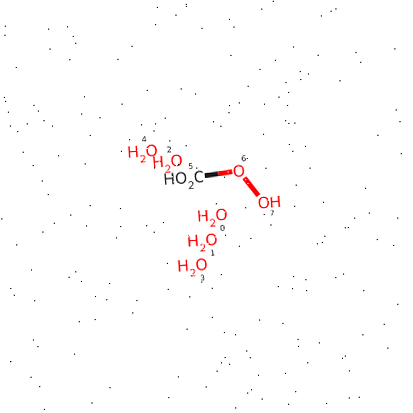 O.O.O.O.O.O=C(O)OO